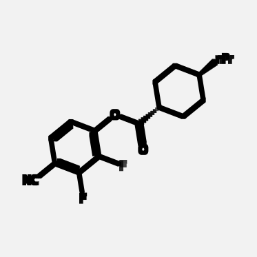 CCC[C@H]1CC[C@H](C(=O)Oc2ccc(C#N)c(F)c2F)CC1